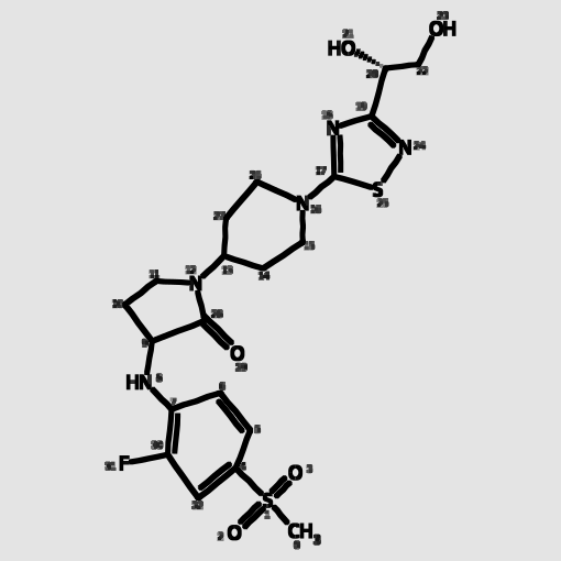 CS(=O)(=O)c1ccc(NC2CCN(C3CCN(c4nc([C@H](O)CO)ns4)CC3)C2=O)c(F)c1